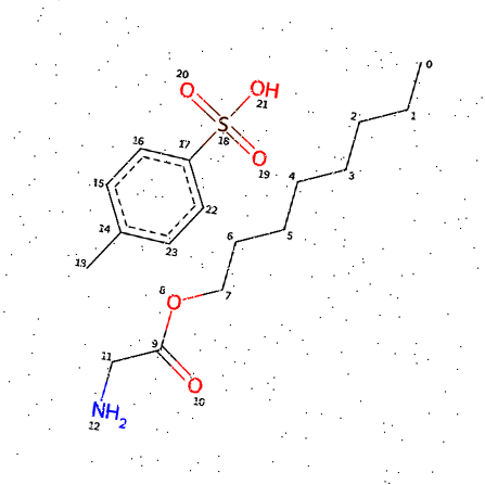 CCCCCCCCOC(=O)CN.Cc1ccc(S(=O)(=O)O)cc1